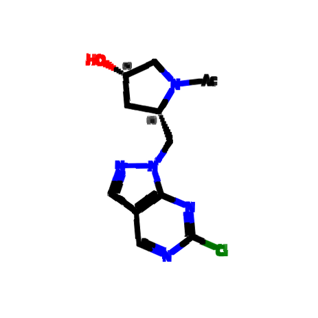 CC(=O)N1C[C@@H](O)C[C@H]1Cn1ncc2cnc(Cl)nc21